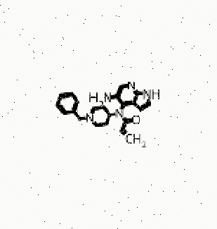 C=CC(=O)N(c1c(N)cnc2[nH]ccc12)C1CCN(Cc2ccccc2)CC1